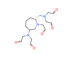 O=CCN(CC=O)C[C@H]1CCCC(N(CC=O)CC=O)CN1CC=O